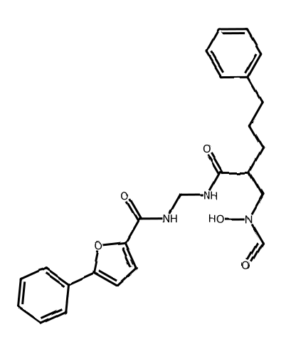 O=CN(O)CC(CCCc1ccccc1)C(=O)NCNC(=O)c1ccc(-c2ccccc2)o1